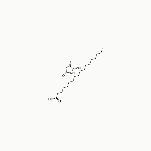 CCCCCCCCCCCCCCCCCC(=O)O.CN1CC(=O)NC1=N